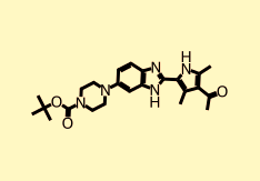 CC(=O)c1c(C)[nH]c(-c2nc3ccc(N4CCN(C(=O)OC(C)(C)C)CC4)cc3[nH]2)c1C